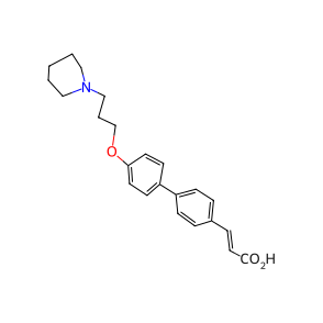 O=C(O)C=Cc1ccc(-c2ccc(OCCCN3CCCCC3)cc2)cc1